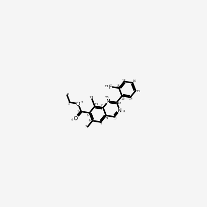 CCOC(=O)c1c(C)cc2cnc(-c3ccccc3F)nc2c1C